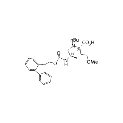 CCCCN(C[C@@H](C)NC(=O)OCC1c2ccccc2-c2ccccc21)[C@@H](CCOC)C(=O)O